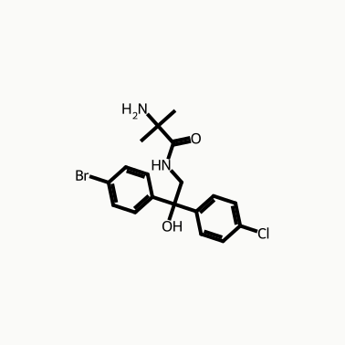 CC(C)(N)C(=O)NCC(O)(c1ccc(Cl)cc1)c1ccc(Br)cc1